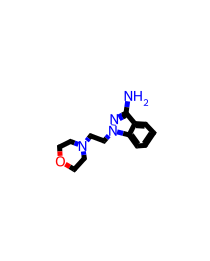 Nc1nn(CCN2CCOCC2)c2ccccc12